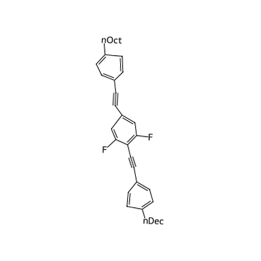 CCCCCCCCCCc1ccc(C#Cc2c(F)cc(C#Cc3ccc(CCCCCCCC)cc3)cc2F)cc1